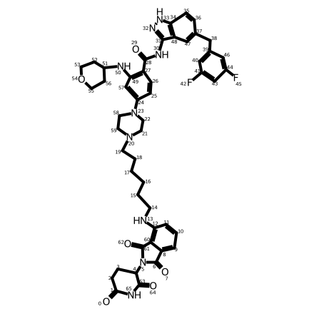 O=C1CCC(N2C(=O)c3cccc(NCCCCCCN4CCN(c5ccc(C(=O)Nc6n[nH]c7ccc(Cc8cc(F)cc(F)c8)cc67)c(NC6CCOCC6)c5)CC4)c3C2=O)C(=O)N1